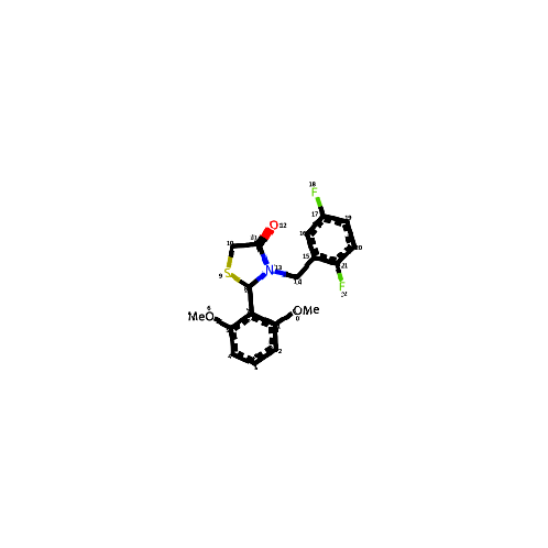 COc1cccc(OC)c1C1SCC(=O)N1Cc1cc(F)ccc1F